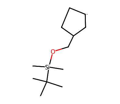 CC(C)(C)[Si](C)(C)OCC1C[CH]CC1